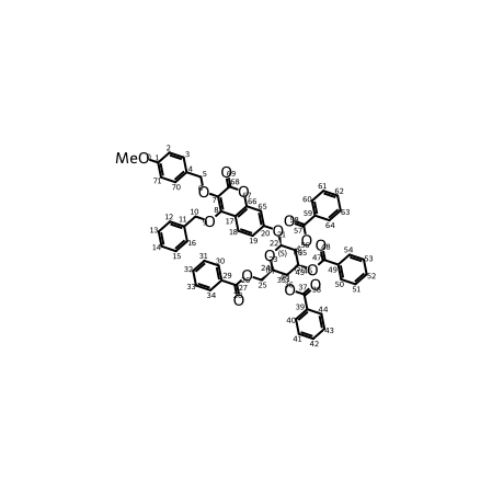 COc1ccc(COc2c(OCc3ccccc3)c3ccc(O[C@@H]4O[C@H](COC(=O)c5ccccc5)[C@@H](OC(=O)c5ccccc5)[C@H](OC(=O)c5ccccc5)[C@H]4OC(=O)c4ccccc4)cc3oc2=O)cc1